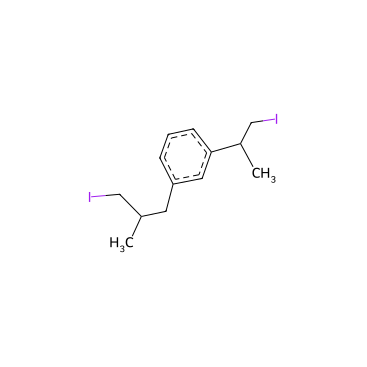 CC(CI)Cc1cccc(C(C)CI)c1